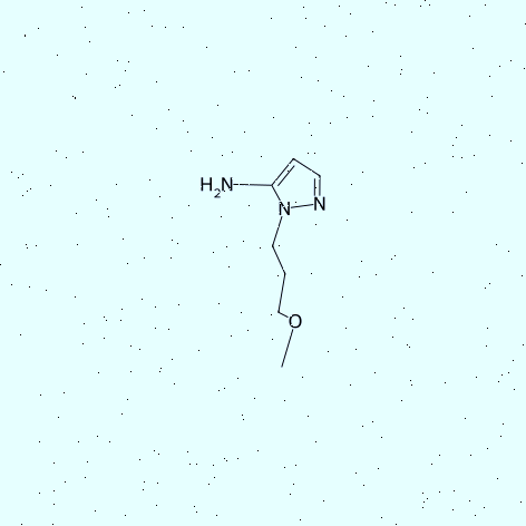 COCCCn1nccc1N